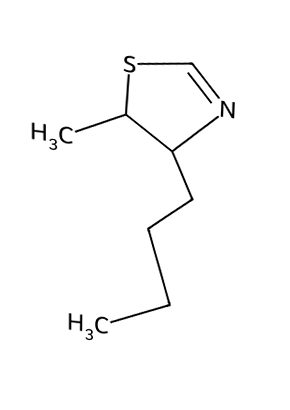 CCCCC1N=CSC1C